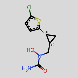 NC(=O)N(O)C[C@@H]1C[C@H]1c1ccc(Cl)s1